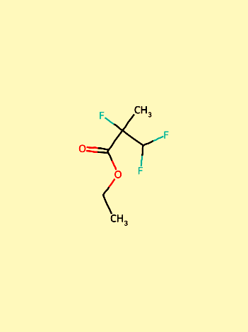 CCOC(=O)C(C)(F)C(F)F